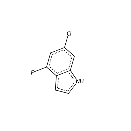 Fc1cc(Cl)cc2[nH]ccc12